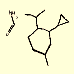 CC1CCC(C(C)C)C(C2CC2)C1.NC=O